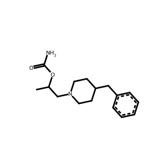 CC(CN1CCC(Cc2ccccc2)CC1)OC(N)=O